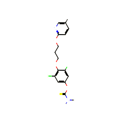 CCN(CC)C(=S)Oc1cc(Cl)c(OCCCOc2ccc(C(F)(F)F)cn2)c(Cl)c1